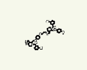 COc1ccc(OCC2c3cnn(CCOc4ccc(OCC5c6cnsc6CCN5C(=O)c5cccc(Cl)c5)cc4)c3CCN2C(=O)c2cccc(Cl)c2)cc1